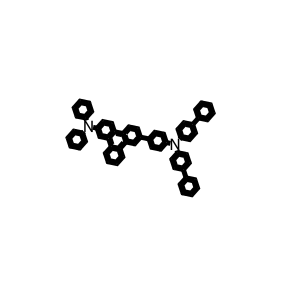 c1ccc(-c2ccc(N(c3ccc(-c4ccccc4)cc3)c3ccc(-c4ccc5c6ccc(N(c7ccccc7)c7ccccc7)cc6c6ccccc6c5c4)cc3)cc2)cc1